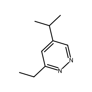 CCc1cc(C(C)C)cnn1